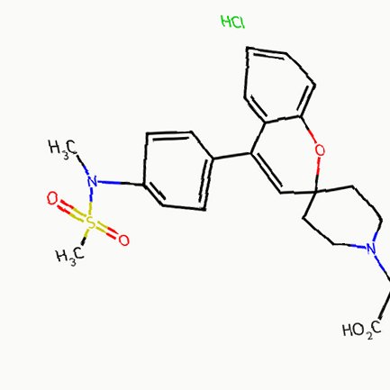 CN(c1ccc(C2=CC3(CCN(CC(=O)O)CC3)Oc3ccccc32)cc1)S(C)(=O)=O.Cl